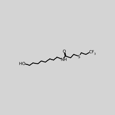 O=C(CCSCCC(F)(F)F)NCCCCCCCCO